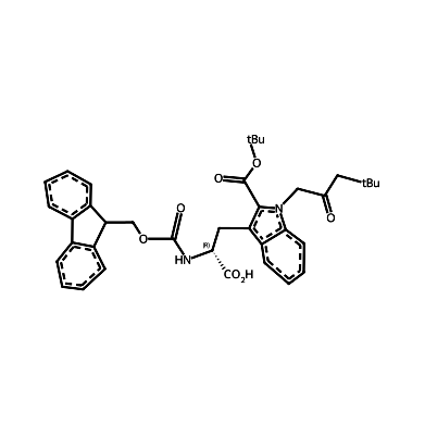 CC(C)(C)CC(=O)Cn1c(C(=O)OC(C)(C)C)c(C[C@@H](NC(=O)OCC2c3ccccc3-c3ccccc32)C(=O)O)c2ccccc21